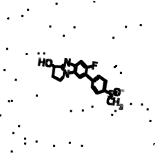 C[S+]([O-])c1ccc(-c2cc3c(cc2F)nc2n3CCC2O)cc1